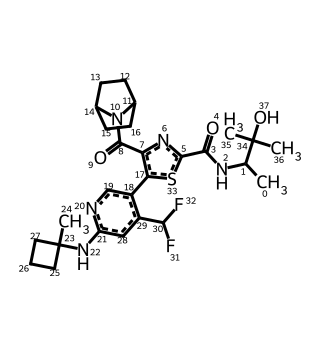 CC(NC(=O)c1nc(C(=O)N2C3CCC2CC3)c(-c2cnc(NC3(C)CCC3)cc2C(F)F)s1)C(C)(C)O